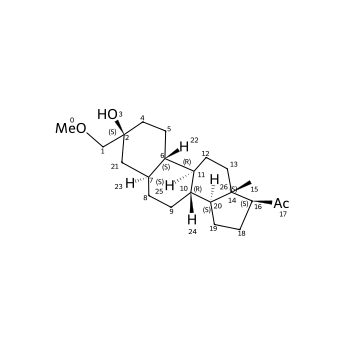 COC[C@]1(O)CC[C@H]2[C@@H](CC[C@@H]3[C@@H]2CC[C@]2(C)[C@@H](C(C)=O)CC[C@@H]32)C1